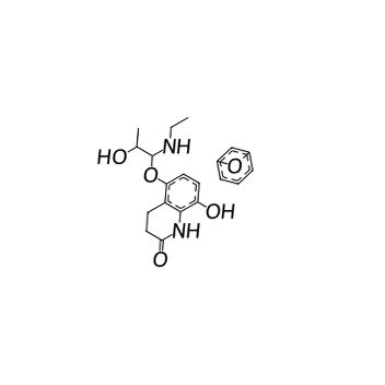 CCNC(Oc1ccc(O)c2c1CCC(=O)N2)C(C)O.c1cc2cc(c1)O2